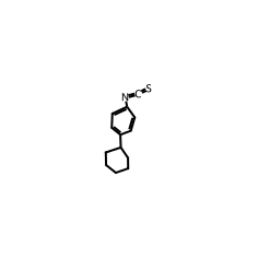 S=C=Nc1ccc(C2CCCCC2)cc1